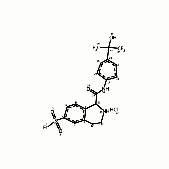 CCS(=O)(=O)c1ccc2c(c1)CCNC2C(=O)Nc1ccc(C(O)(C(F)(F)F)C(F)(F)F)cc1.Cl